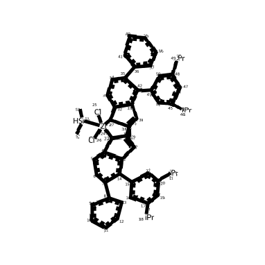 CC1=Cc2c(ccc(-c3ccccc3)c2-c2cc(C(C)C)cc(C(C)C)c2)[CH]1[Zr]([Cl])([Cl])([CH]1C(C)=Cc2c1ccc(-c1ccccc1)c2-c1cc(C(C)C)cc(C(C)C)c1)[SiH](C)C